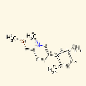 C=N/C=C(\C=C/CCSC)c1cc(C)ccc1C